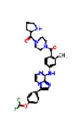 Cc1cc(Nc2nccn3c(-c4ccc(OC(F)F)cc4)cnc23)ccc1C(=O)N1CCN(C(=O)C2CCCN2)CC1